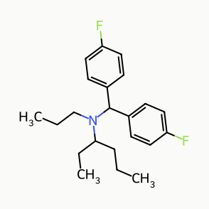 CCCC(CC)N(CCC)C(c1ccc(F)cc1)c1ccc(F)cc1